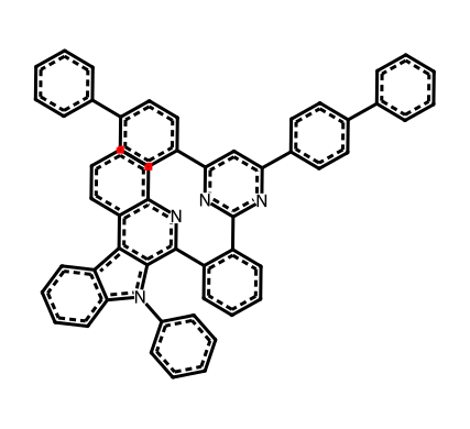 c1ccc(-c2ccc(-c3cc(-c4ccc(-c5ccccc5)cc4)nc(-c4ccccc4-c4nc5ccccc5c5c6ccccc6n(-c6ccccc6)c45)n3)cc2)cc1